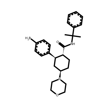 Bc1ccc([C@@H]2C[C@H](N3CCOCC3)CC[C@H]2C(=O)NC(C)(C)c2ccccc2)cc1